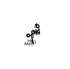 CNC[C@H](C[C@H]1CCC(C)(C)OC1)NC(=O)N1CCC[C@@H]([C@@H](OCCNC(=O)OC)c2ccccc2)C1